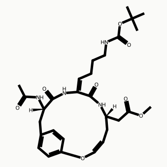 COC(=O)C[C@@H]1C/C=C\Oc2ccc(cc2)C[C@H](NC(C)=O)C(=O)N/C(=C/CCCNC(=O)OC(C)(C)C)C(=O)N1